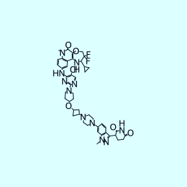 Cn1nc(C2CCC(=O)NC2=O)c2ccc(N3CCN(C4CC(OC5CCN(c6ncc(Cl)c(Nc7ccc8c(c7)c7c(c(=O)n8C)OCC(F)(F)C(C8CC8)N7)n6)CC5)C4)CC3)cc21